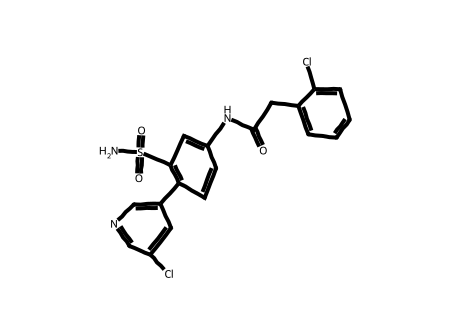 NS(=O)(=O)c1cc(NC(=O)Cc2ccccc2Cl)ccc1-c1cncc(Cl)c1